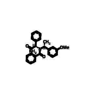 COc1cccc([C@@H](C)N(C(=O)c2ccccc2)[C@H](C(N)=O)c2ccccc2)c1